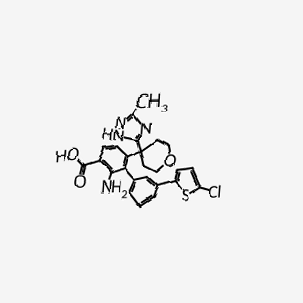 Cc1n[nH]c(C2(c3ccc(C(=O)O)c(N)c3-c3cccc(-c4ccc(Cl)s4)c3)CCOCC2)n1